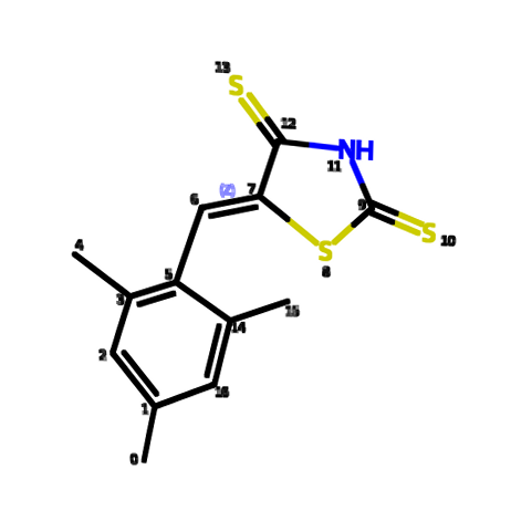 Cc1cc(C)c(/C=C2\SC(=S)NC2=S)c(C)c1